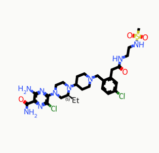 CC[C@H]1CN(c2nc(N)c(C(N)=O)nc2Cl)CCN1C1CCN(Cc2ccc(Cl)cc2CC(=O)NCCNS(C)(=O)=O)CC1